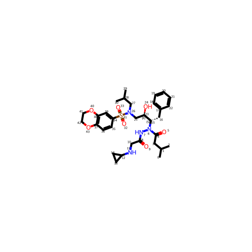 CC(C)CC(=O)N(NC(=O)CNC1CC1)[C@@H](Cc1ccccc1)[C@H](O)CN(CC(C)C)S(=O)(=O)c1ccc2c(c1)OCCO2